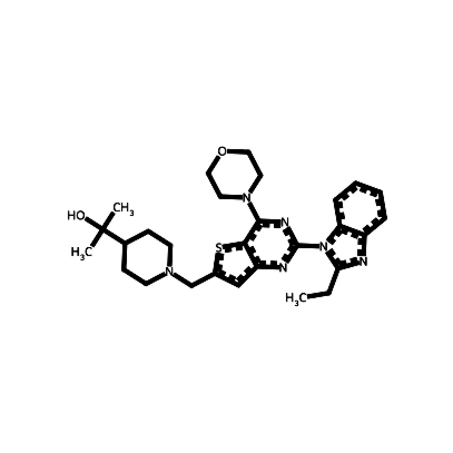 CCc1nc2ccccc2n1-c1nc(N2CCOCC2)c2sc(CN3CCC(C(C)(C)O)CC3)cc2n1